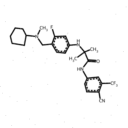 CN(Cc1ccc(NC(C)(C)C(=O)Nc2ccc(C#N)c(C(F)(F)F)c2)cc1F)C1CCCCC1